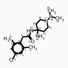 Cc1cc(Cl)cc(C)c1CC(=O)NC1(N)CCN(N(C)C)CC1